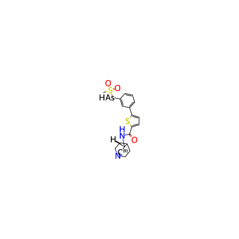 CS(=O)(=O)[AsH]c1cccc(-c2ccc(C(=O)N[C@H]3CN4CCC3CC4)s2)c1